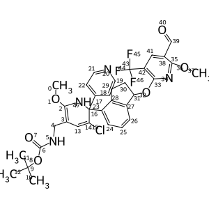 COC1=C(CNC(=O)OC(C)(C)C)C=C(Cl)C(c2ccncc2)(c2cccc3c2CCC3Oc2nc(OC)c(C=O)cc2C(F)(F)F)N1